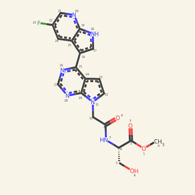 COC(=O)[C@H](CO)NC(=O)Cn1ccc2c(-c3c[nH]c4ncc(F)cc34)ncnc21